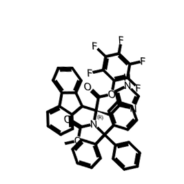 COC(=O)N(C(c1ccccc1)(c1ccccc1)c1ccccc1)[C@@](Cc1c[nH]cn1)(C(=O)Oc1c(F)c(F)c(F)c(F)c1F)C1c2ccccc2-c2ccccc21